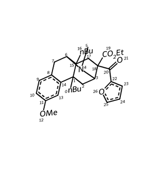 CCCCC12CC3N(C)C(Cc4ccc(OC)cc41)C2(CCCC)CC3(C(=O)OCC)C(=O)c1ccco1